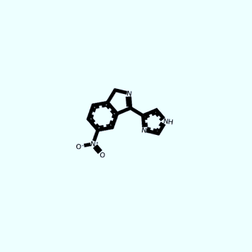 O=[N+]([O-])c1ccc2c(c1)C(c1c[nH]cn1)=NC2